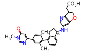 Cc1cc(-c2cc(=O)n(C)cn2)cc(C)c1-c1cccc2c1CC[C@H]2Nc1cnc2c(c1)OCC2CC(=O)O